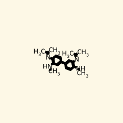 CNc1ccc(-c2ccc(N=C(C)C)c(NC)c2)cc1N=C(C)C